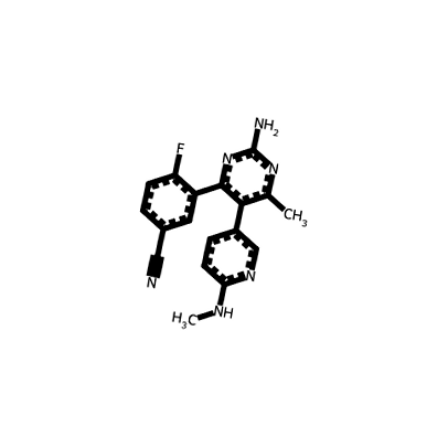 CNc1ccc(-c2c(C)nc(N)nc2-c2cc(C#N)ccc2F)cn1